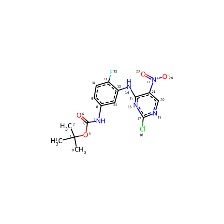 CC(C)(C)OC(=O)Nc1ccc(F)c(Nc2nc(Cl)ncc2[N+](=O)[O-])c1